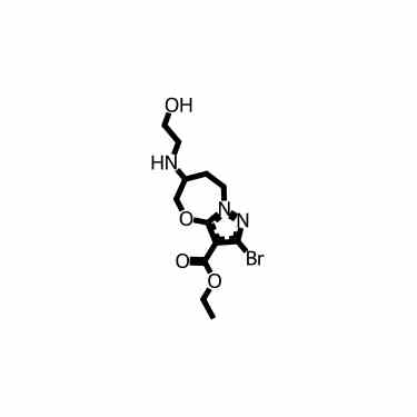 CCOC(=O)c1c(Br)nn2c1OCC(NCCO)CC2